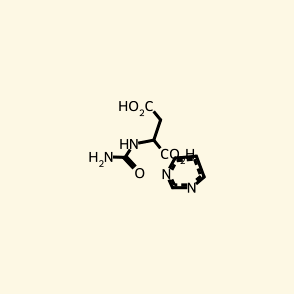 NC(=O)NC(CC(=O)O)C(=O)O.c1cncnc1